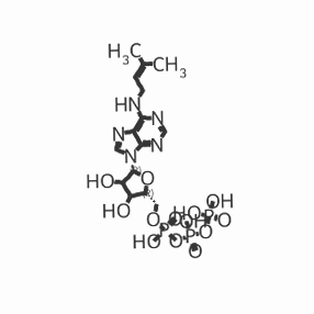 CC(C)=CCNc1ncnc2c1ncn2[C@@H]1O[C@H](COP(=O)(O)OP(=O)(O)OP(=O)(O)O)C(O)C1O